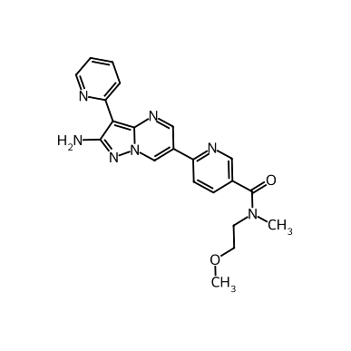 COCCN(C)C(=O)c1ccc(-c2cnc3c(-c4ccccn4)c(N)nn3c2)nc1